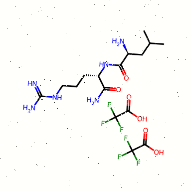 CC(C)C[C@H](N)C(=O)N[C@@H](CCCNC(=N)N)C(N)=O.O=C(O)C(F)(F)F.O=C(O)C(F)(F)F